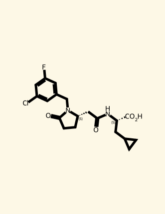 O=C(C[C@@H]1CCC(=O)N1Cc1cc(F)cc(Cl)c1)N[C@@H](CC1CC1)C(=O)O